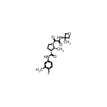 Cc1cc(NC(=O)[C@H]2CCN(C(=O)C(=O)NC3(C)COC3)[C@H]2C)ccc1F